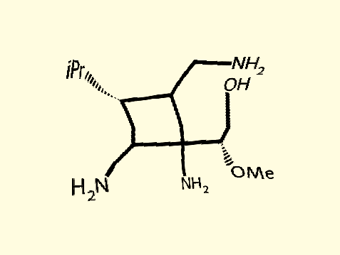 CO[C@@H](O)C1(N)C(N)[C@H](C(C)C)C1CN